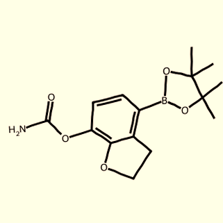 CC1(C)OB(c2ccc(OC(N)=O)c3c2CCO3)OC1(C)C